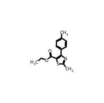 CCOC(=O)c1sc(C)nc1-c1ccc(C)cc1